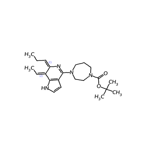 C/C=c1\c(=C/CC)nc(N2CCCN(C(=O)OC(C)(C)C)CC2)c2cc[nH]c12